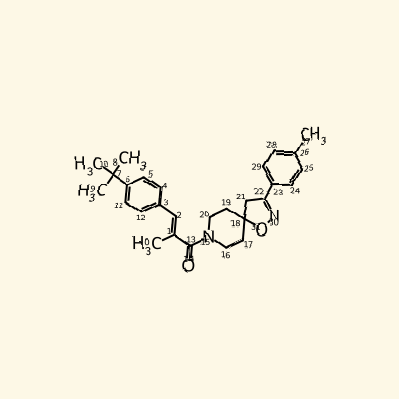 CC(=Cc1ccc(C(C)(C)C)cc1)C(=O)N1CCC2(CC1)CC(c1ccc(C)cc1)=NO2